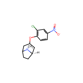 CN1C2CC[C@@H]1CC(Oc1ccc([N+](=O)[O-])cc1Cl)C2